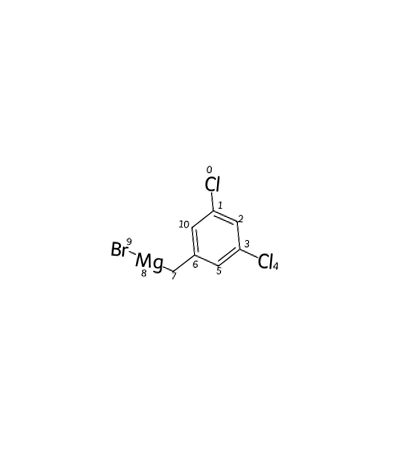 Clc1cc(Cl)cc([CH2][Mg][Br])c1